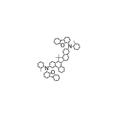 Cc1ccccc1N(c1ccc2c3c(ccc2c1)-c1c(c2ccc(N(c4ccccc4C)c4cccc5c4oc4ccccc45)cc2c2ccccc12)C3(C)C)c1cccc2c1oc1ccccc12